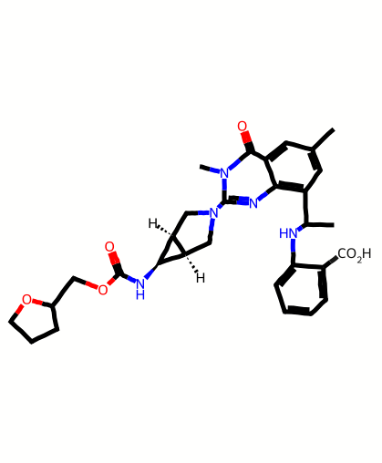 Cc1cc(C(C)Nc2ccccc2C(=O)O)c2nc(N3C[C@@H]4[C@H](C3)[C@@H]4NC(=O)OCC3CCCO3)n(C)c(=O)c2c1